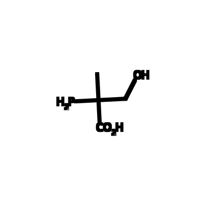 CC(P)(CO)C(=O)O